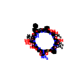 CC(C)[C@@H]1NC(=O)[C@H](Cc2ccccc2)NC(=O)CSC[C@@H](C(=O)NCC(N)=O)NC(=O)[C@@H]2CCCN2C(=O)[C@H](CO)NC(=O)[C@H](CCC(O)O)NC(=O)[C@H](C)N(C)C(=O)[C@H](Cc2ccc(-c3ccccc3)cc2)NC(=O)[C@H](C)N(C)C(=O)[C@H](Cc2ccccc2)NC(=O)[C@H]([C@@H](C)O)NC(=O)[C@H]([C@@H](C)O)NC(=O)[C@H](CC(=O)O)NC1=O